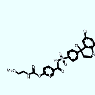 COCCNC(=O)Oc1ccc(C(=O)NS(=O)(=O)c2ccc(C3(Cl)C=CNc4ccc(Cl)cc43)cc2)cn1